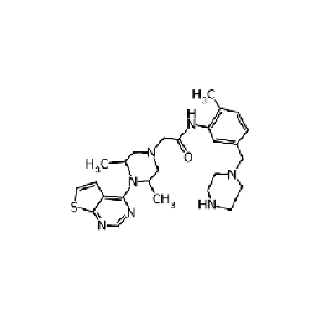 Cc1ccc(CN2CCNCC2)cc1NC(=O)CN1CC(C)N(c2ncnc3sccc23)C(C)C1